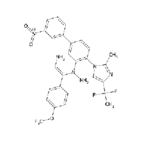 Cc1nc(C(C)(F)F)cn1-c1ccc(-c2cccc([SH](=O)=O)c2)cc1N(N)/C(=C\N)c1ccc(OC(F)(F)F)cc1